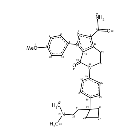 COc1ccc(-n2nc(C(N)=O)c3c2C(=O)N(c2ccc(C4(CCN(C)C)CCC4)cc2)CC3)cc1